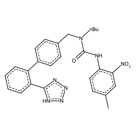 CCCCN(Cc1ccc(-c2ccccc2-c2nnn[nH]2)cc1)C(=O)Nc1ccc(C)cc1[N+](=O)[O-]